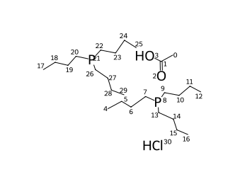 CC(=O)O.CCCCP(CCCC)CCCC.CCCCP(CCCC)CCCC.Cl